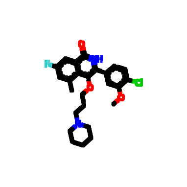 COc1cc(-c2[nH]c(=O)c3cc(F)cc(C)c3c2OCCCN2CCCCC2)ccc1Cl